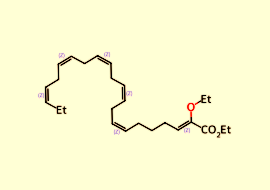 CC/C=C\C/C=C\C/C=C\C/C=C\C/C=C\CCC/C=C(\OCC)C(=O)OCC